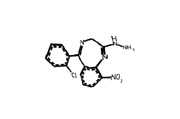 NNC1=Nc2c(cccc2[N+](=O)[O-])C(c2ccccc2Cl)=NC1